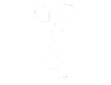 COc1ccc(COCP(=O)(c2ccccc2)c2ccccc2)cc1